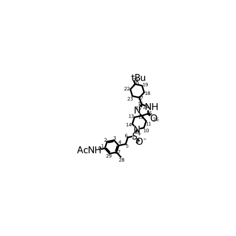 CC(=O)Nc1ccc(CC[S+]([O-])N2CCC3(CC2)N=C(C2CCC(C(C)(C)C)CC2)NC3=O)c(C)c1